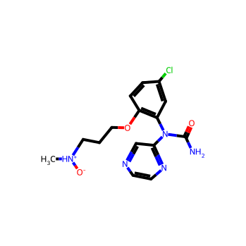 C[NH+]([O-])CCCOc1ccc(Cl)cc1N(C(N)=O)c1cnccn1